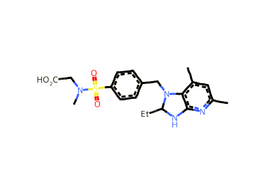 CCC1Nc2nc(C)cc(C)c2N1Cc1ccc(S(=O)(=O)N(C)CC(=O)O)cc1